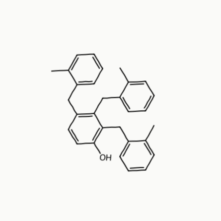 Cc1ccccc1Cc1ccc(O)c(Cc2ccccc2C)c1Cc1ccccc1C